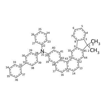 CC1(C)c2ccccc2-c2cc3c(ccc4ccc5cc(N(c6ccccc6)c6ccc(-c7ccccc7)cc6)ccc5c43)cc21